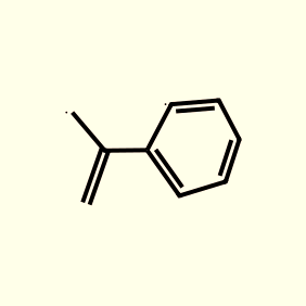 [CH2]C(=C)c1[c]cccc1